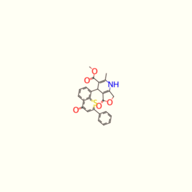 COC(=O)C1=C(C)NC2=C(C(=O)OC2)C1c1cccc2c(=O)cc(-c3ccccc3)sc12